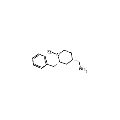 CCN1CC[C@H](CN)C[C@@H]1Cc1ccccc1